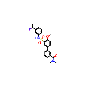 COc1ccc(-c2cccc(C(=O)N(C)C)c2)cc1S(=O)(=O)Nc1cccc([C@H](C)I)c1